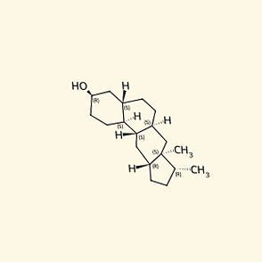 C[C@@H]1CC[C@@H]2C[C@H]3[C@@H](CC[C@H]4C[C@H](O)CC[C@@H]43)C[C@]21C